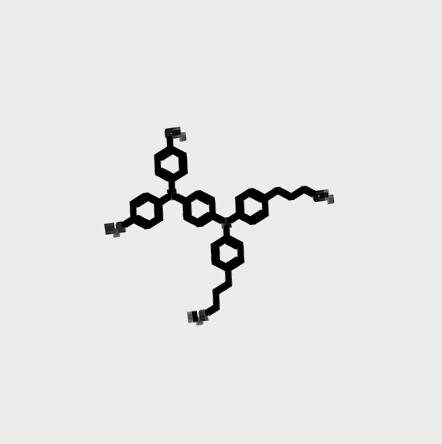 CCCCc1ccc(N(c2ccc(CCCC)cc2)c2ccc(N(c3ccc(C)cc3)c3ccc(C)cc3)cc2)cc1